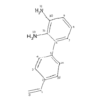 C=Cc1ccc(-c2cccc(N)c2N)cc1